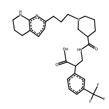 O=C(NCC(C(=O)O)c1cccc(C(F)(F)F)c1)C1CCCN(CCCc2ccc3c(n2)NCCC3)C1